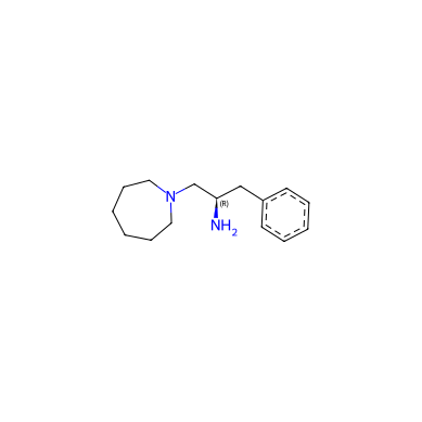 N[C@H](Cc1ccccc1)CN1CCCCCC1